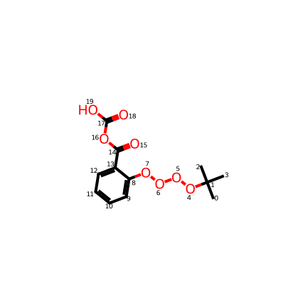 CC(C)(C)OOOOc1ccccc1C(=O)OC(=O)O